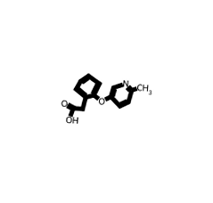 Cc1ccc(Oc2ccccc2CC(=O)O)cn1